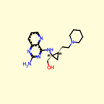 Nc1nc(N[C@]2(CO)C[C@H]2CCN2CCCCC2)c2ncccc2n1